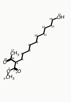 COC(=O)C(CCCCCCCCCCO)C(C)=O